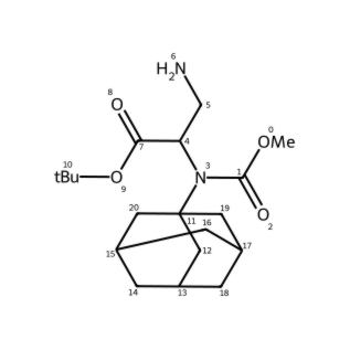 COC(=O)N(C(CN)C(=O)OC(C)(C)C)C12CC3CC(CC(C3)C1)C2